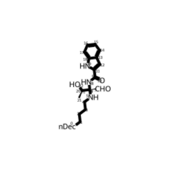 CCCCCCCCCCCCCCN[C@](C=O)(NC(=O)c1cc2ccccc2[nH]1)[C@@H](C)O